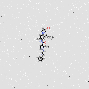 CC(C)c1c(C(=O)Nc2cc(CC(=O)O)c(N3CC[C@@H](O)C3)cc2C(F)(F)F)ccn1C/C=C/c1ccccc1